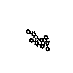 Cc1cc(-c2ccccc2)ncc1-c1ccccc1-c1cc(CCc2cnc(-c3ccccc3)cc2O)cc(-c2ccccc2-c2cnc(-c3ccccc3)cc2C)c1